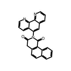 O=C1Cc2ccc3ccccc3c2C(=O)N1c1cc2cccnc2c2ncccc12